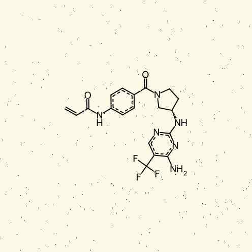 C=CC(=O)Nc1ccc(C(=O)N2CC[C@@H](Nc3ncc(C(F)(F)F)c(N)n3)C2)cc1